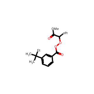 CCCC(OOC(=O)c1cccc(C(C)(C)CC)c1)C(=O)OC